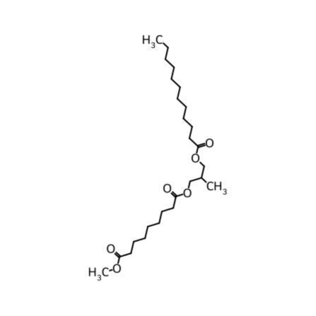 CCCCCCCCCCCC(=O)OCC(C)COC(=O)CCCCCCCC(=O)OC